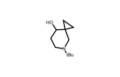 CC(C)(C)N1CCC(O)C2(CC2)C1